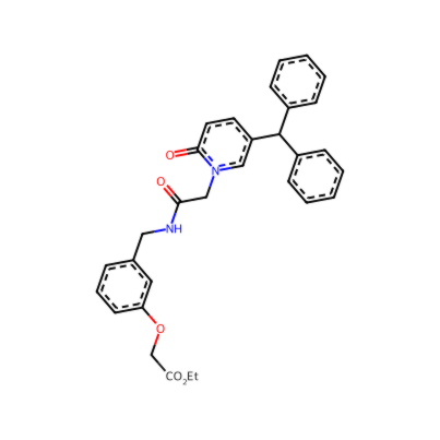 CCOC(=O)COc1cccc(CNC(=O)Cn2cc(C(c3ccccc3)c3ccccc3)ccc2=O)c1